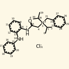 CC(C)[N+](CC(=O)Nc1ccccc1Nc1ccccc1)(Cc1ccccc1)C(C)C.[Cl-]